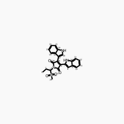 CCC(N1C(=O)C(c2cc3ccccc3[nH]2)=C(c2c[nH]c3ccccc23)C1=O)S(C)(=O)=O